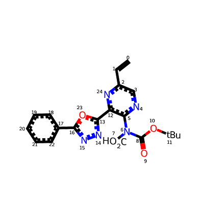 C=Cc1cnc(N(C(=O)O)C(=O)OC(C)(C)C)c(-c2nnc(-c3ccccc3)o2)n1